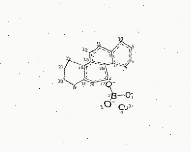 [Cu+3].[O-]B([O-])[O-].c1ccc2c(c1)ccc1c3c(ccc12)CCCC3